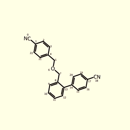 N#Cc1ccc(COCc2ccccc2-c2ccc(C#N)cc2)cc1